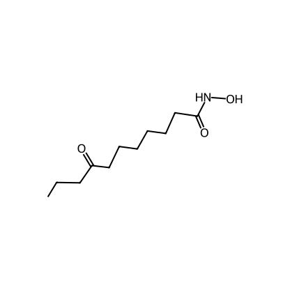 CCCC(=O)CCCCCCC(=O)NO